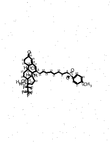 Cc1ccc(S(=O)(=O)CCCCCCCC[C@@H]2CC3=CC(=O)CC[C@]3(C)[C@H]3CC[C@@]4(C)[C@@H](CC[C@@]4(O)C(F)(F)C(F)(F)F)[C@H]23)cc1